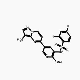 COc1ncc(-c2ccn3ncc(N)c3n2)cc1NS(=O)(=O)c1ccc(F)cc1F